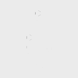 O=C(O)CCCCOC(/C=C\Cc1ccc(OCCCCOc2ccccc2)cc1)SCCCC(=O)O